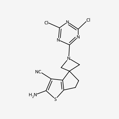 N#Cc1c(N)sc2c1C1(CC2)CN(c2nc(Cl)nc(Cl)n2)C1